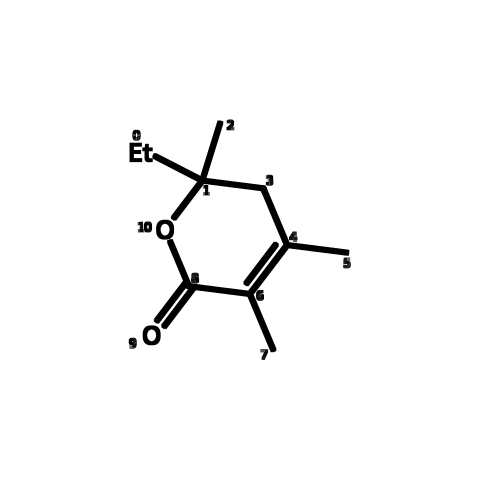 CCC1(C)CC(C)=C(C)C(=O)O1